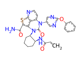 C=CC(=O)N[C@H]1CCCC[C@H]1N1C(=O)N(c2cnc(Oc3ccccc3)nc2)c2ccnc3sc(C(N)=O)c1c23